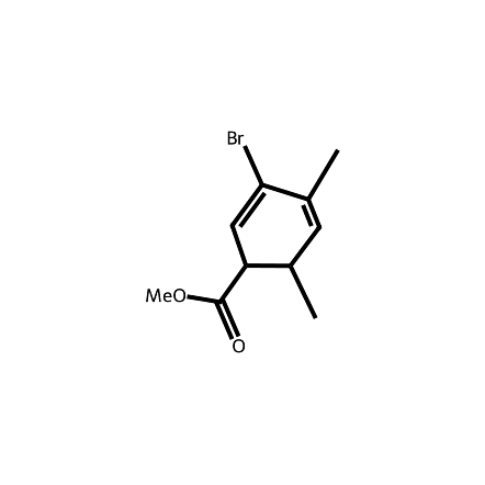 COC(=O)C1C=C(Br)C(C)=CC1C